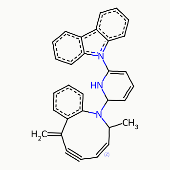 C=C1C#C/C=C\C(C)N(C2C=CC=C(n3c4ccccc4c4ccccc43)N2)c2ccccc21